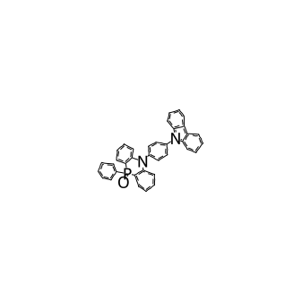 O=P1(c2ccccc2)c2ccccc2N(c2ccc(-n3c4ccccc4c4ccccc43)cc2)c2ccccc21